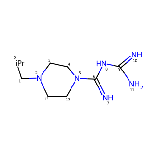 CC(C)CN1CCN(C(=N)NC(=N)N)CC1